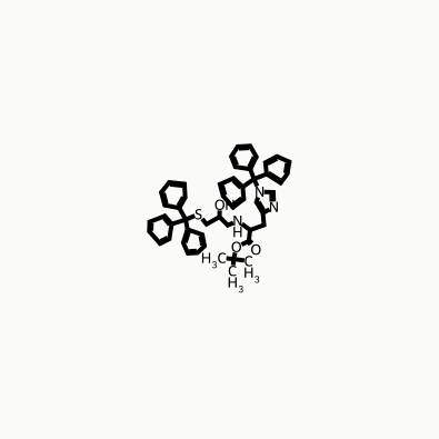 CC(C)(C)OC(=O)C(Cc1cn(C(c2ccccc2)(c2ccccc2)c2ccccc2)cn1)NCC(O)CSC(c1ccccc1)(c1ccccc1)c1ccccc1